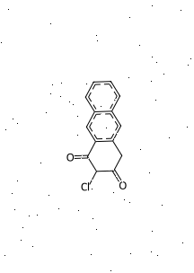 O=C1Cc2cc3ccccc3cc2C(=O)C1Cl